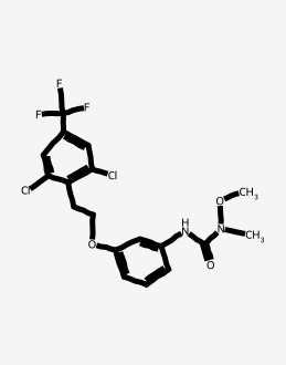 CON(C)C(=O)Nc1cccc(OCCc2c(Cl)cc(C(F)(F)F)cc2Cl)c1